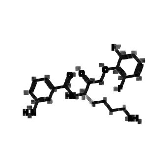 NCCCC[C@H](NC(=O)c1cccc(N)c1)C(=O)COc1c(F)c#ccc1F